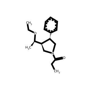 CCO[C@H](C)[C@@H]1CN(C(=O)CC)C[C@H]1c1ccccc1